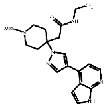 CSN1CCC(CC(=O)NCC(F)(F)F)(n2cc(-c3ccnc4[nH]ccc34)cn2)CC1